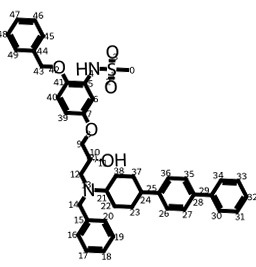 CS(=O)(=O)Nc1cc(OC[C@H](O)CN(Cc2ccccc2)C2CCC(c3ccc(-c4ccccc4)cc3)CC2)ccc1OCc1ccccc1